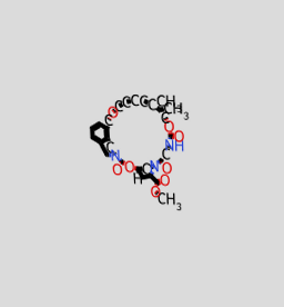 COC(=O)C1C[C@@H]2CN1C(=O)CNC(=O)OCC(C)(C)CCCCCOCc1cccc3c1CN(C3)C(=O)O2